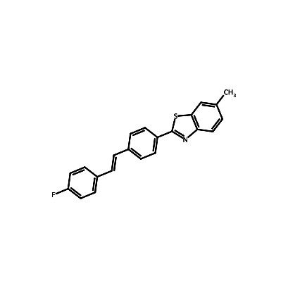 Cc1ccc2nc(-c3ccc(/C=C/c4ccc(F)cc4)cc3)sc2c1